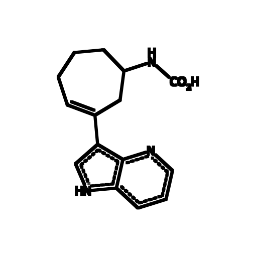 O=C(O)NC1CCCC=C(c2c[nH]c3cccnc23)C1